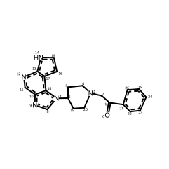 O=C(CN1CCC(n2cnc3cnc4[nH]ccc4c32)CC1)c1ccccc1